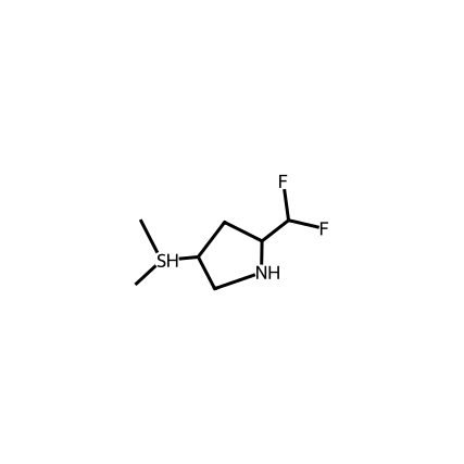 C[SH](C)C1CNC(C(F)F)C1